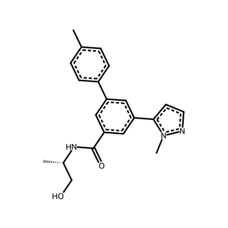 Cc1ccc(-c2cc(C(=O)N[C@@H](C)CO)cc(-c3ccnn3C)c2)cc1